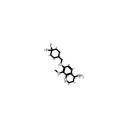 COc1c(OCC2CCC(F)(F)CC2)ccc2c1OCCC2N